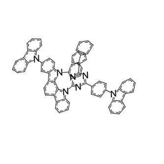 c1ccc(-c2cccc(-n3c4ccc(-n5c6ccccc6c6ccccc65)cc4c4ccc5c6ccccc6n(-c6nc(-c7ccccc7)nc(-c7ccc(-n8c9ccccc9c9ccccc98)cc7)n6)c5c43)c2)cc1